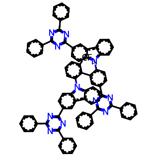 FC(F)(F)c1cccc(-n2c3ccccc3c3cc(-c4nc(-c5ccccc5)nc(-c5ccccc5)n4)ccc32)c1-c1cc(-c2nc(-c3ccccc3)nc(-c3ccccc3)n2)ccc1-n1c2ccccc2c2cc(-c3nc(-c4ccccc4)nc(-c4ccccc4)n3)ccc21